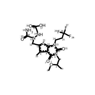 COC(C)Cn1c(=O)c2c(C)c(CN(NC(=O)O)C(N)=O)sc2n(CCC(F)(F)F)c1=O